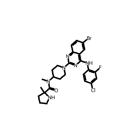 CN(C(=O)C1(C)CCCN1)C1CCN(c2nc(Nc3ccc(Cl)cc3F)c3cc(Br)ccc3n2)CC1